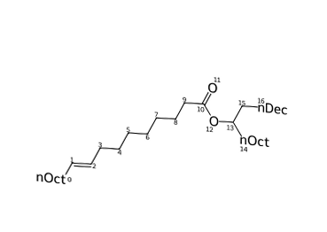 CCCCCCCCC=CCCCCCCCC(=O)OC(CCCCCCCC)CCCCCCCCCCC